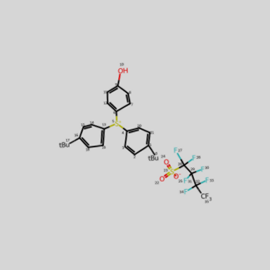 CC(C)(C)c1ccc([S+](c2ccc(O)cc2)c2ccc(C(C)(C)C)cc2)cc1.O=S(=O)([O-])C(F)(F)C(F)(F)C(F)(F)C(F)(F)F